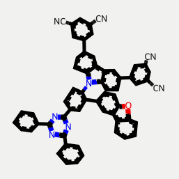 N#Cc1cc(C#N)cc(-c2ccc3c(c2)c2cc(-c4cc(C#N)cc(C#N)c4)ccc2n3-c2ccc(-c3nc(-c4ccccc4)nc(-c4ccccc4)n3)cc2-c2ccc3oc4ccccc4c3c2)c1